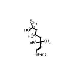 CCCCCC=CC(C)(CCCC)CC(O)CC(C)O